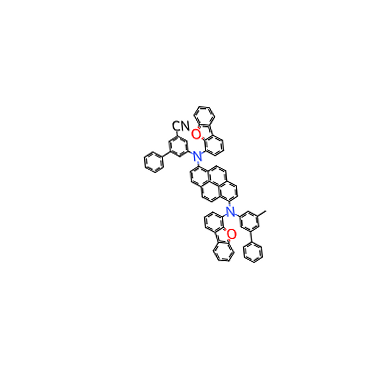 Cc1cc(-c2ccccc2)cc(N(c2ccc3ccc4c(N(c5cc(C#N)cc(-c6ccccc6)c5)c5cccc6c5oc5ccccc56)ccc5ccc2c3c54)c2cccc3c2oc2ccccc23)c1